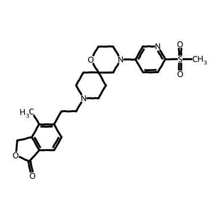 Cc1c(CCN2CCC3(CC2)CN(c2ccc(S(C)(=O)=O)nc2)CCO3)ccc2c1COC2=O